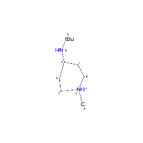 [CH2-][NH+]1CCC(NC(C)(C)C)CC1